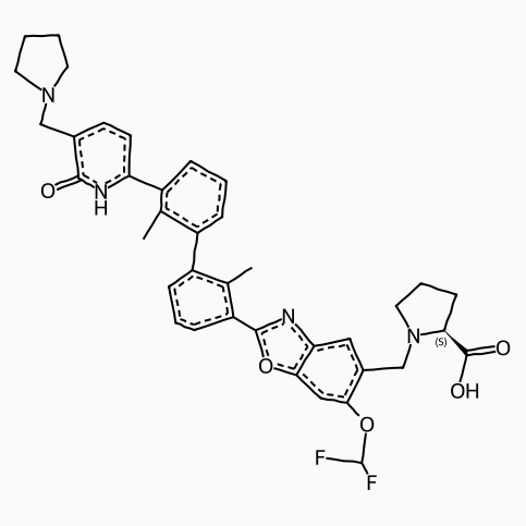 Cc1c(-c2ccc(CN3CCCC3)c(=O)[nH]2)cccc1-c1cccc(-c2nc3cc(CN4CCC[C@H]4C(=O)O)c(OC(F)F)cc3o2)c1C